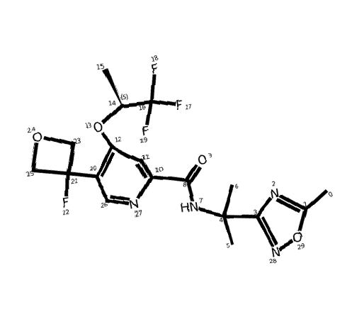 Cc1nc(C(C)(C)NC(=O)c2cc(O[C@@H](C)C(F)(F)F)c(C3(F)COC3)cn2)no1